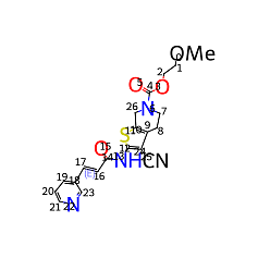 COCCOC(=O)N1CCc2c(sc(NC(=O)/C=C/c3cccnc3)c2C#N)C1